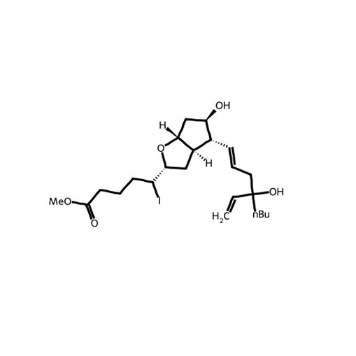 C=CC(O)(CC=C[C@@H]1[C@H]2C[C@H](C(I)CCCC(=O)OC)O[C@@H]2C[C@H]1O)CCCC